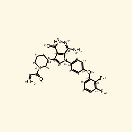 C=CC(=O)N1CCC[C@@H](c2cn(-c3ccc(Oc4cccc(F)c4F)cc3)c3c(N)n[nH]c(=O)c23)C1